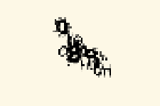 O=C(NO)c1ccc(Cn2c(=O)n(CCC3=CCCCC3)c(=O)c3ccccc32)cc1